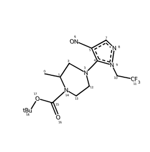 CC1CN(c2c(N=O)cnn2CC(F)(F)F)CCN1C(=O)OC(C)(C)C